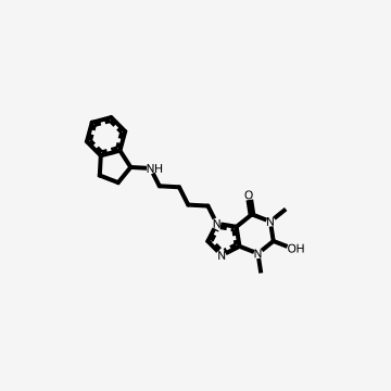 CN1C(=O)c2c(ncn2CCCCNC2CCc3ccccc32)N(C)C1O